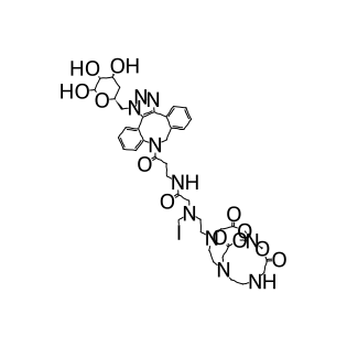 O=C(CN(CI)CCN1CCN2CCNCC(=O)O[N@@](OC(=O)C2)OC(=O)C1)NCCC(=O)N1Cc2ccccc2-c2nnn(C[C@@H]3C[C@H](O)[C@@H](O)C(O)O3)c2-c2ccccc21